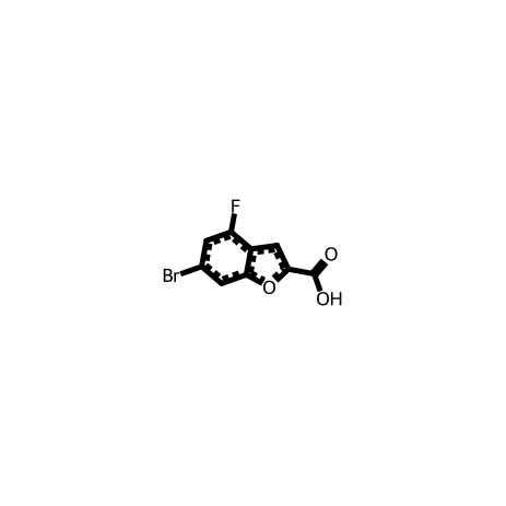 O=C(O)c1cc2c(F)cc(Br)cc2o1